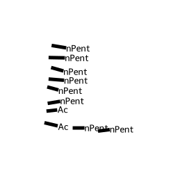 CC(C)=O.CC(C)=O.CCCCCC.CCCCCC.CCCCCC.CCCCCC.CCCCCC.CCCCCC.CCCCCC.CCCCCC